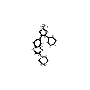 Cn1cc(-c2ccc3ncc(N4CCOCC4)nc3c2)c(C2CCCCC2)n1